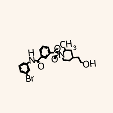 CC1CC(CCO)CCN1S(=O)(=O)c1cccc(C(=O)Nc2cccc(Br)c2)c1